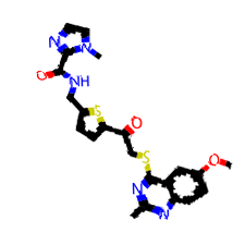 COc1ccc2nc(C)nc(SCC(=O)c3ccc(CNC(=O)c4nccn4C)s3)c2c1